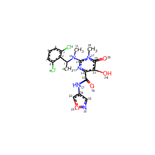 CC(c1c(Cl)cccc1Cl)N(C)c1nc(C(=O)Nc2cnoc2)c(O)c(=O)n1C